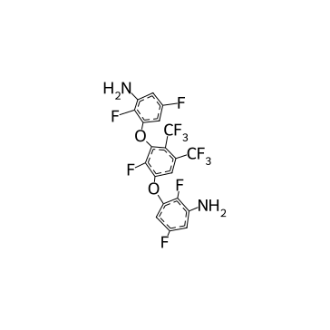 Nc1cc(F)cc(Oc2cc(C(F)(F)F)c(C(F)(F)F)c(Oc3cc(F)cc(N)c3F)c2F)c1F